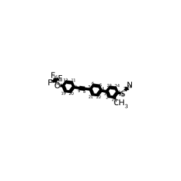 Cc1cc(-c2ccc(C#Cc3ccc(OC(F)(F)F)cc3)cc2)ccc1SC#N